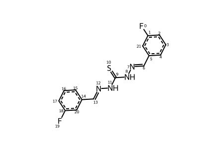 Fc1cccc(/C=N/NC(=S)N/N=C/c2cccc(F)c2)c1